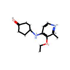 CCOc1c(NC2CCC(=O)CC2)ccnc1C